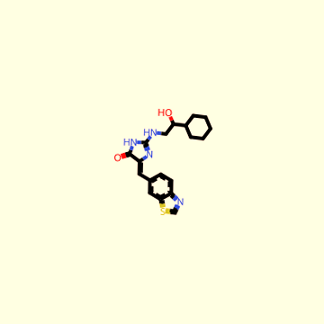 O=C1NC(NCC(O)C2CCCCC2)=N/C1=C\c1ccc2ncsc2c1